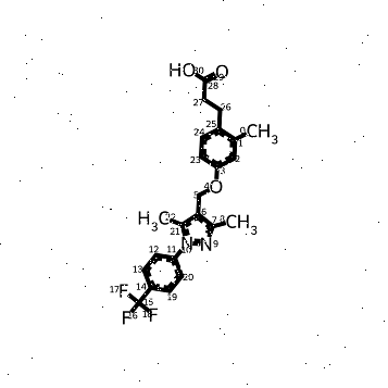 Cc1cc(OCc2c(C)nn(-c3ccc(C(F)(F)F)cc3)c2C)ccc1CCC(=O)O